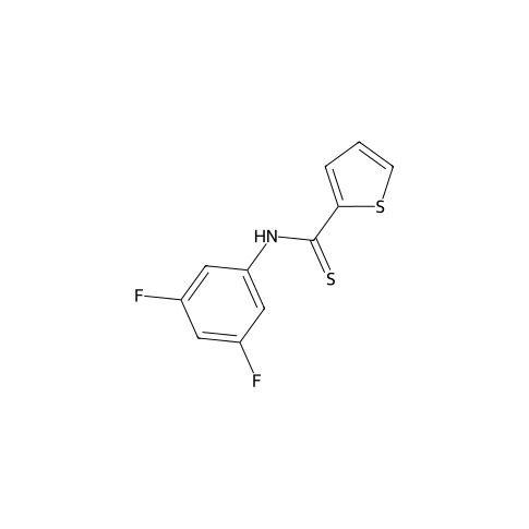 Fc1cc(F)cc(NC(=S)c2cccs2)c1